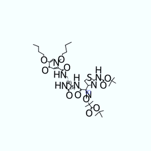 CCCCOc1cn(OCCCC)c(C(=O)NC[C@H]2NC(=O)[C@H]2NC(=O)/C(=N\OC(C)(C)C(=O)OC(C)(C)C)C2CSC(NC(=O)OC(C)(C)C)=N2)cc1=O